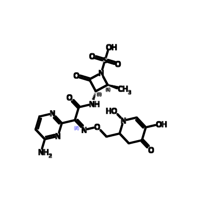 C[C@H]1[C@H](NC(=O)/C(=N\OCC2CC(=O)C(O)=CN2O)c2nccc(N)n2)C(=O)N1S(=O)(=O)O